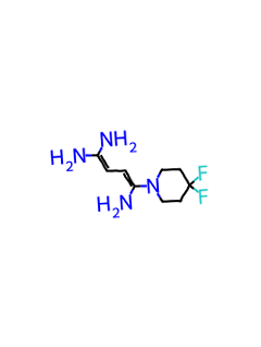 NC(N)=C/C=C(\N)N1CCC(F)(F)CC1